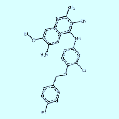 CCOc1cc2nc(C)c(C#N)c(Nc3ccc(OCc4ccc(C(C)C)nc4)c(Cl)c3)c2cc1N